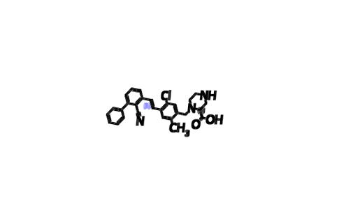 Cc1cc(/C=C/c2cccc(-c3ccccc3)c2C#N)c(Cl)cc1CN1CCNC[C@H]1C(=O)O